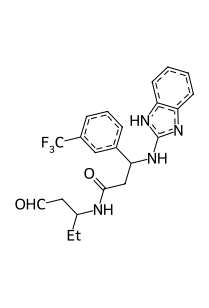 CCC(CC=O)NC(=O)CC(Nc1nc2ccccc2[nH]1)c1cccc(C(F)(F)F)c1